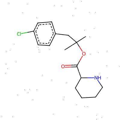 CC(C)(Cc1ccc(Cl)cc1)OC(=O)C1CCCCN1